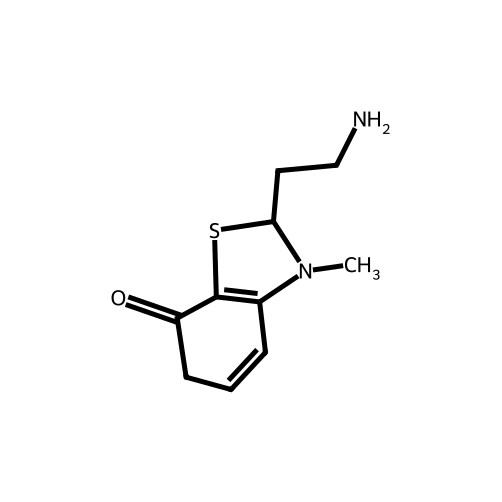 CN1C2=C(SC1CCN)C(=O)CC=C2